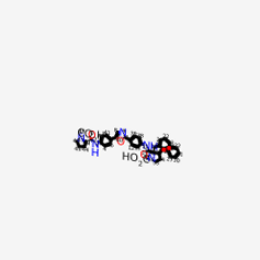 O=C(Nc1ccc(-c2cnc(-c3ccc(NC(=O)[C@]4(Cc5ccccc5)C(Cc5ccccc5)CCN4C(=O)O)cc3)o2)cc1)[C@@H]1CCCN1C(=O)O